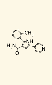 Cc1ccccc1-c1[nH]c(-c2ccncc2)cc1C(N)=O